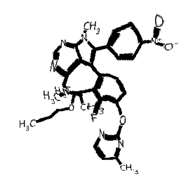 CCCOC(C)c1c(-c2c(-c3ccc([N+](=O)[O-])cc3)n(C)c3ncnc(N(C)CC)c23)ccc(Oc2nccc(C)n2)c1F